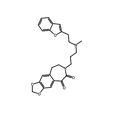 CN(CCCN1CCc2cc3c(cc2C(=O)C1=O)OCO3)CCc1cc2ccccc2o1